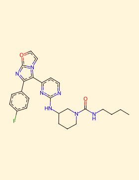 CCCCNC(=O)N1CCCC(Nc2nccc(-c3c(-c4ccc(F)cc4)nc4occn34)n2)C1